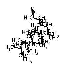 C/C=C(\C)C(=O)OCCC(C)CCC=C(C)C.CC(=O)OCCC(C)CCC=C(C)C.CC(C)=CCCC(C)CCOC(=O)C(C)C.CC(C)=CCCC(C)CCOC=O.CCC(=O)OCCC(C)CCC=C(C)C.CCCC(=O)OCCC(C)CCC=C(C)C